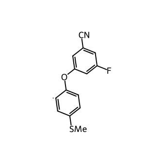 CSc1c[c]c(Oc2cc(F)cc(C#N)c2)cc1